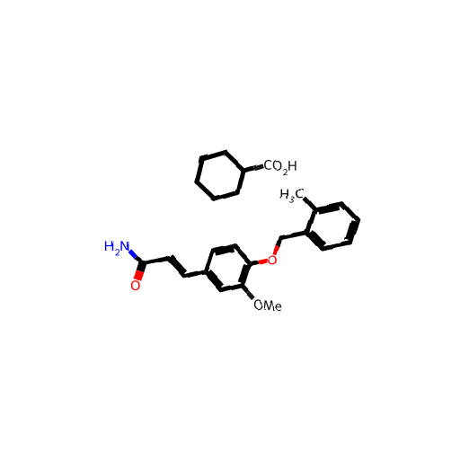 COc1cc(/C=C/C(N)=O)ccc1OCc1ccccc1C.O=C(O)C1CCCCC1